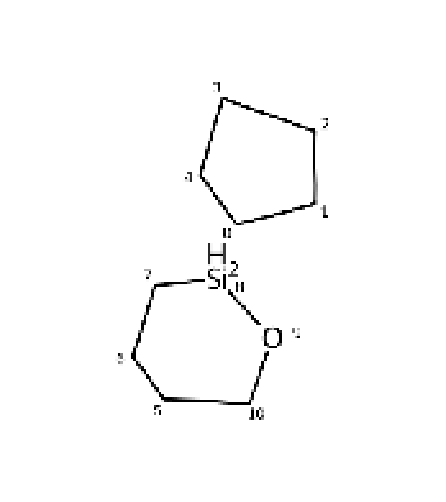 C1CCCC1.C1CC[SiH2]OC1